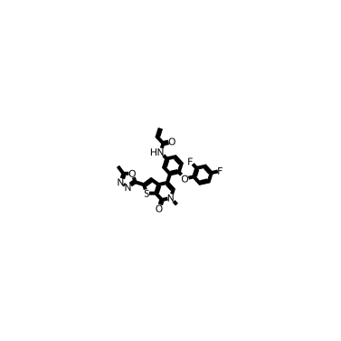 C=CC(=O)Nc1ccc(Oc2ccc(F)cc2F)c(-c2cn(C)c(=O)c3sc(-c4nnc(C)o4)cc23)c1